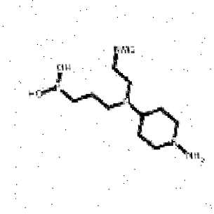 CNCCN(CCCP(O)O)C1CCN(N)CC1